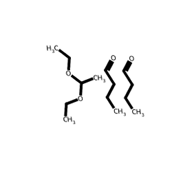 CCCC=O.CCCC=O.CCOC(C)OCC